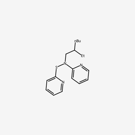 CCCCC(CC)CN(Sc1ccccn1)c1ccccn1